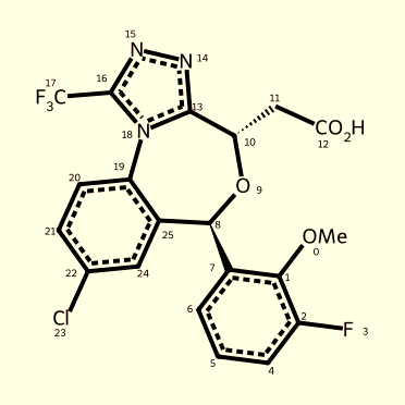 COc1c(F)cccc1[C@@H]1O[C@@H](CC(=O)O)c2nnc(C(F)(F)F)n2-c2ccc(Cl)cc21